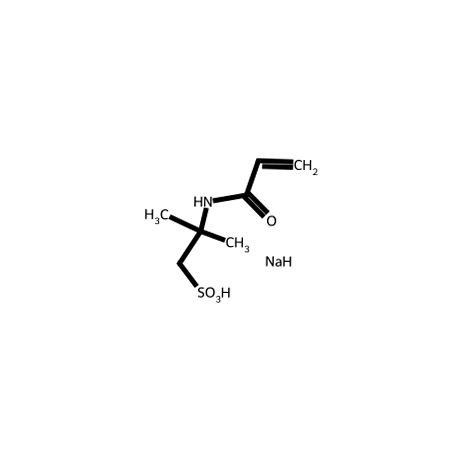 C=CC(=O)NC(C)(C)CS(=O)(=O)O.[NaH]